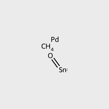 C.[O]=[Sn].[Pd]